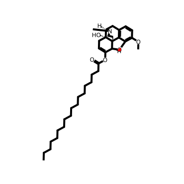 CCCCCCCCCCCCCCCCCC(=O)OC1=CC[C@@]2(O)[C@H]3Cc4ccc(OC)c5c4[C@@]2(CCN3C)[C@H]1O5